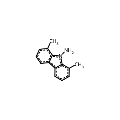 Cc1cccc2c3cccc(C)c3n(N)c12